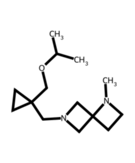 CC(C)OCC1(CN2CC3(CCN3C)C2)CC1